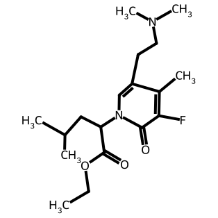 CCOC(=O)C(CC(C)C)n1cc(CCN(C)C)c(C)c(F)c1=O